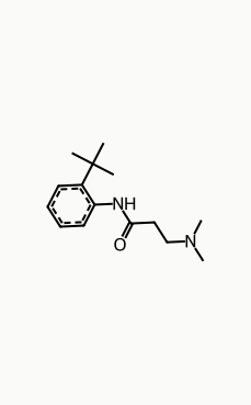 CN(C)CCC(=O)Nc1ccccc1C(C)(C)C